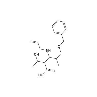 C=CCNC(C(C)COCc1ccccc1)C(C(=O)O)C(C)O